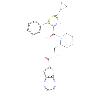 O=C(NC[C@@H]1CCCCN1C(=O)c1nc(C2CC2)sc1-c1ccc(F)cc1)c1cc2nccnc2s1